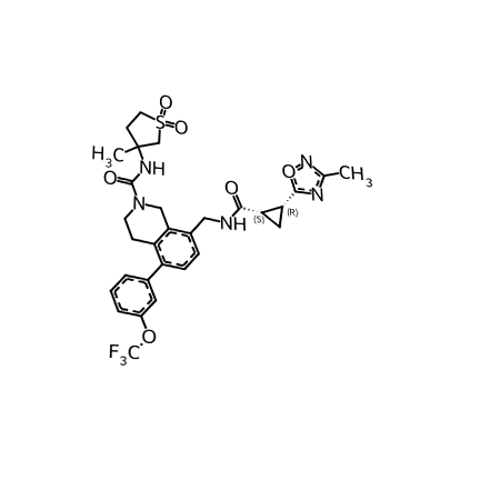 Cc1noc([C@@H]2C[C@@H]2C(=O)NCc2ccc(-c3cccc(OC(F)(F)F)c3)c3c2CN(C(=O)NC2(C)CCS(=O)(=O)C2)CC3)n1